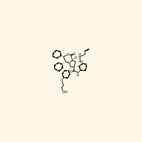 C=CCNC(=O)[C@H]1[C@@H]2C(=O)O[C@@H](c3ccccc3)[C@@H](c3ccccc3)N2[C@@H](c2ccc(OCCO)cc2)[C@]12C(=O)Nc1ccccc12